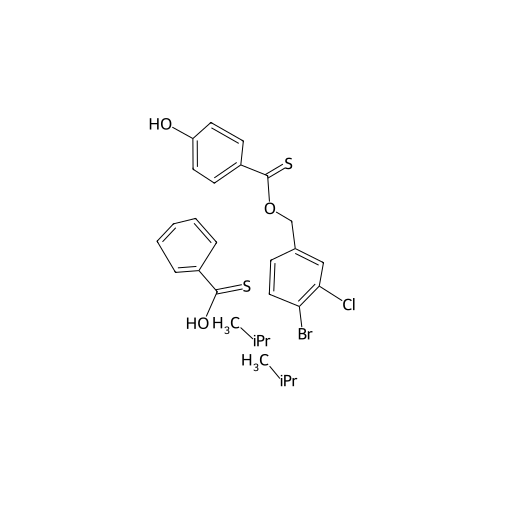 CC(C)C.CC(C)C.OC(=S)c1ccccc1.Oc1ccc(C(=S)OCc2ccc(Br)c(Cl)c2)cc1